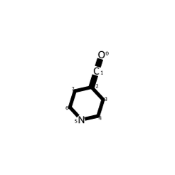 O=C=C1CC[N]CC1